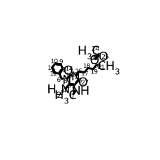 CNc1c(N)n(Cc2ccccc2)c(=O)n(CCCC[C@@H](C)OC(C)=O)c1=O